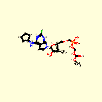 COC(=O)OCOP(=O)(O)COCC1O[C@@H](n2ccc3c(NC4CCCC4)nc(Cl)nc32)[C@H](O)[C@@H]1C